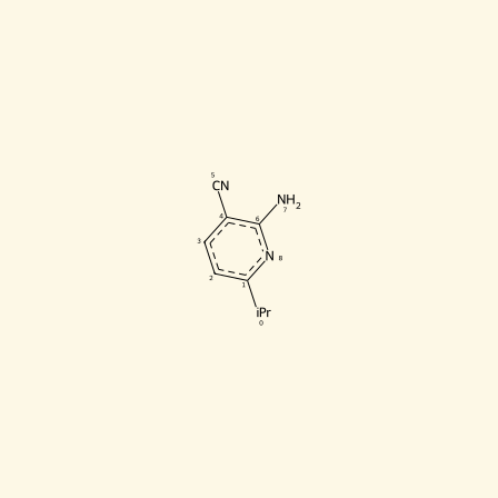 CC(C)c1ccc(C#N)c(N)n1